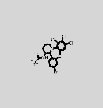 O=C(NC1CCCN2c3c(cc(Cl)c(Cl)c3Cl)Oc3cc(Br)ccc3C12)C(F)(F)F